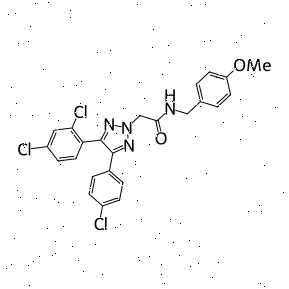 COc1ccc(CNC(=O)Cn2nc(-c3ccc(Cl)cc3)c(-c3ccc(Cl)cc3Cl)n2)cc1